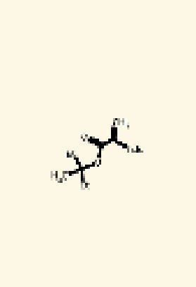 C=C(CCCC)C(=O)OC(C)(CC)CC